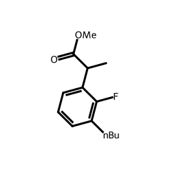 CCCCc1cccc(C(C)C(=O)OC)c1F